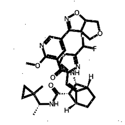 COc1ncc(C2=NOC3COCC23)cc1C(=O)N[C@H]1[C@@H](C(=O)N[C@H](C)C2(C)CC2)[C@H]2CC[C@@H]1/C2=C\c1csc(C(F)F)n1